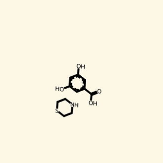 C1CSCCN1.O=C(O)c1cc(O)cc(O)c1